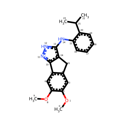 COc1cc2c(cc1OC)-c1n[nH]c(Nc3ccccc3C(C)C)c1C2